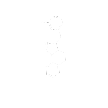 Cc1cccc(CC2NCC3c4ccccc4CCC23)c1.Cl